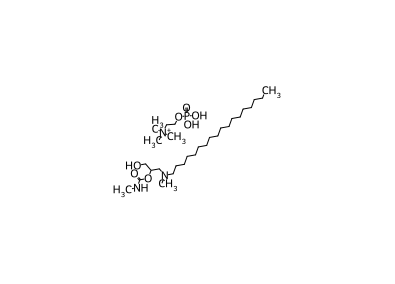 CCCCCCCCCCCCCCCCCCN(C)CC(CO)OC(=O)NC.C[N+](C)(C)CCOP(=O)(O)O